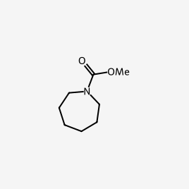 COC(=O)N1CCCCCC1